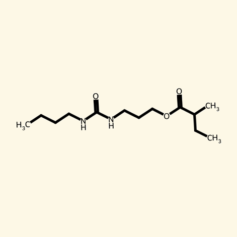 CCCCNC(=O)NCCCOC(=O)C(C)CC